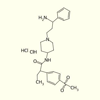 CCC(C(=O)NC1CCN(CCC(N)c2ccccc2)CC1)c1ccc(S(C)(=O)=O)cc1.Cl.Cl